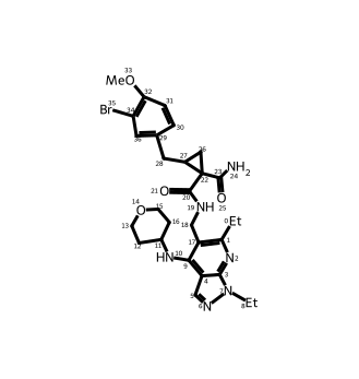 CCc1nc2c(cnn2CC)c(NC2CCOCC2)c1CNC(=O)C1(C(N)=O)CC1Cc1ccc(OC)c(Br)c1